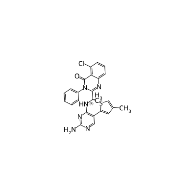 Cc1csc(-c2cnc(N)nc2N[C@H](C)c2nc3cccc(Cl)c3c(=O)n2-c2ccccc2)c1